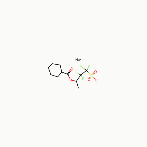 CC(OC(=O)C1CCCCC1)C(F)(F)C(F)(F)S(=O)(=O)[O-].[Na+]